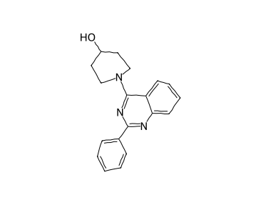 OC1CCN(c2nc(-c3ccccc3)nc3ccccc23)CC1